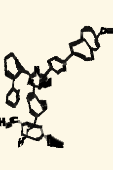 CC[C@@H]1C[C@@H]2C[C@H](C)CC(c3ccc(-c4nc(-c5ccc(-c6ccc7cc(C#N)ccc7c6)cc5)nc(-c5ccccc5-c5ccccc5)n4)cc3)(C1)C2